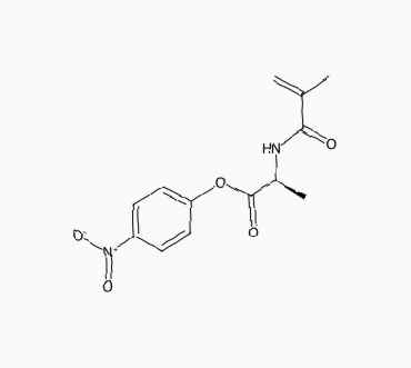 C=C(C)C(=O)N[C@@H](C)C(=O)Oc1ccc([N+](=O)[O-])cc1